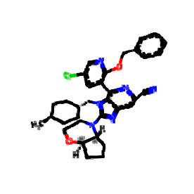 C[C@H]1CC[C@H](Cn2c(N3CCO[C@@H]4CCC[C@H]43)nc3cc(C#N)nc(-c4cc(Cl)cnc4OCc4ccccc4)c32)CC1